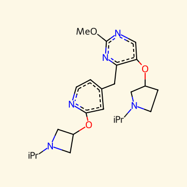 COc1ncc(OC2CCN(C(C)C)C2)c(Cc2ccnc(OC3CN(C(C)C)C3)c2)n1